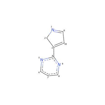 C1=NCC(c2ncccn2)=C1